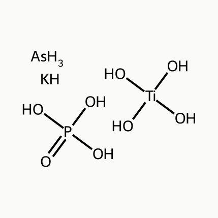 O=P(O)(O)O.[AsH3].[KH].[OH][Ti]([OH])([OH])[OH]